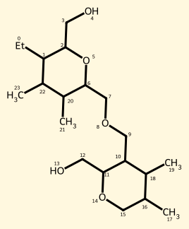 CCC1C(CO)OC(COCC2C(CO)OCC(C)C2C)C(C)C1C